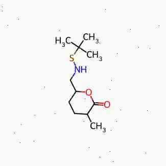 CC1CCC(CNSC(C)(C)C)OC1=O